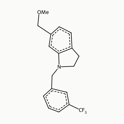 COCc1ccc2c(c1)N(Cc1cccc(C(F)(F)F)c1)CC2